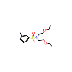 CCOCCN(CCOCC)S(=O)(=O)c1cccc(C)c1